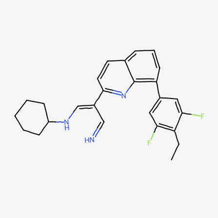 CCc1c(F)cc(-c2cccc3ccc(/C(C=N)=C/NC4CCCCC4)nc23)cc1F